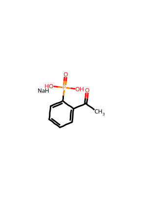 CC(=O)c1ccccc1P(=O)(O)O.[NaH]